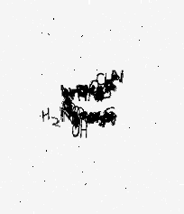 Cc1ncsc1-c1ccc(C(C)NC(=O)[C@@H]2C[C@@H](O)CN2C(=O)[C@@H](N)[C@@H](C)OCCCN(C)CCc2ccc(C(=O)N[C@H]3C(C)(C)[C@H](Oc4ccc(C#N)c(Cl)c4)C3(C)C)cc2)cc1